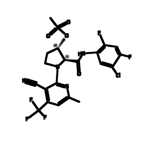 Cc1cc(C(F)(F)F)c(C#N)c(N2CC[C@H](OS(C)(=O)=O)[C@H]2C(=O)Nc2cc(Cl)c(F)cc2F)n1